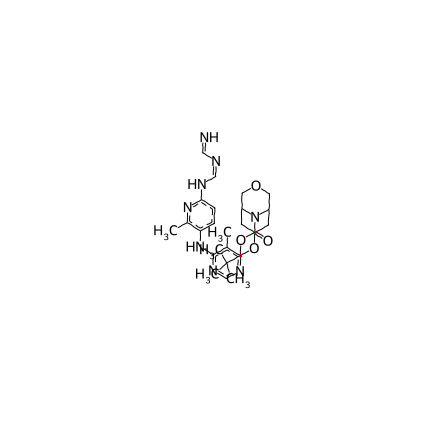 Cc1nc(N/C=N\C=N)ccc1Nc1ncnc(OC2CC3COCC(C2)N3C(=O)OCC(C)(C)C)c1C